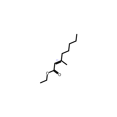 CCCCC/C(C)=C/C(=O)OCC